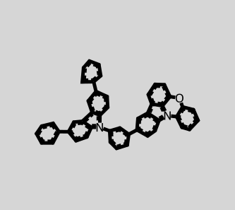 c1ccc(-c2ccc3c(c2)c2cc(-c4ccccc4)ccc2n3-c2cccc(-c3ccc4c(c3)c3cccc5c3n4-c3ccccc3O5)c2)cc1